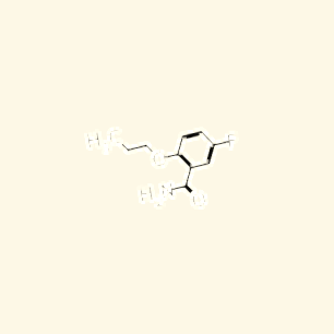 CCCOc1ccc(F)cc1C(N)=O